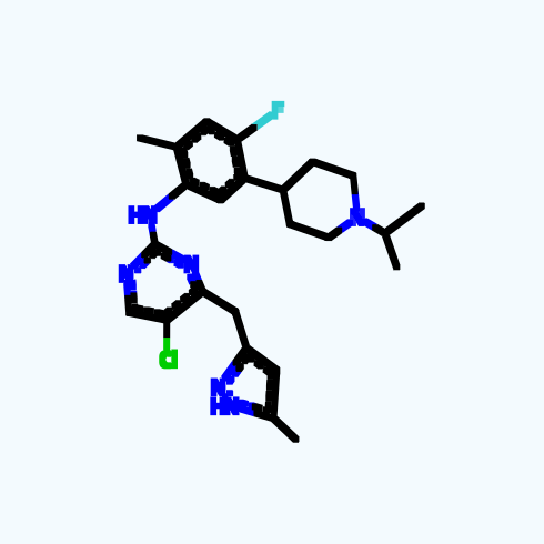 Cc1cc(Cc2nc(Nc3cc(C4CCN(C(C)C)CC4)c(F)cc3C)ncc2Cl)n[nH]1